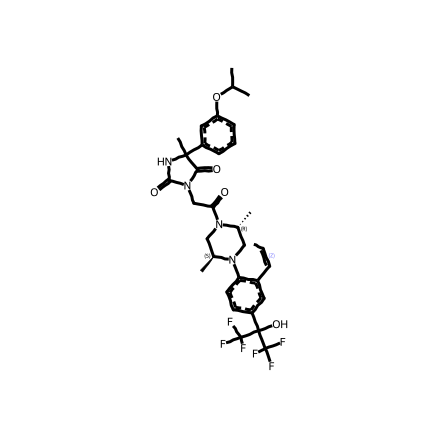 C/C=C\c1cc(C(O)(C(F)(F)F)C(F)(F)F)ccc1N1C[C@@H](C)N(C(=O)CN2C(=O)NC(C)(c3cccc(OC(C)C)c3)C2=O)C[C@@H]1C